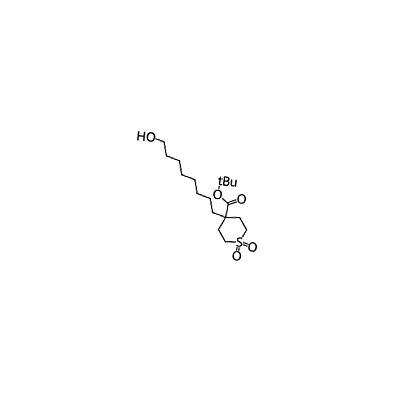 CC(C)(C)OC(=O)C1(CCCCCCCCO)CCS(=O)(=O)CC1